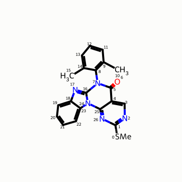 CSc1ncc2c(=O)n(-c3c(C)cccc3C)c3nc4ccccc4n3c2n1